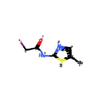 CC(C)(C)c1cnc(NC(=O)CI)s1